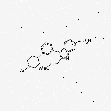 COCCc1nc2cc(C(=O)O)ccc2n1-c1cccc(C2CCN(C(C)=O)CC2)c1